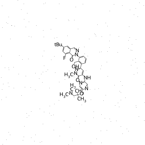 CN(C)CC(C)(C)Oc1cnc(Nc2cc(-c3cccc(-n4ncc5cc(C(C)(C)C)cc(F)c5c4=O)c3CO)nn(C)c2=O)cn1